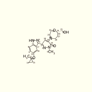 Cn1nc(-c2n[nH]c3ccc(OC4(C)CC4)cc23)cc(N2CCO[C@H](CO)CC2)c1=O